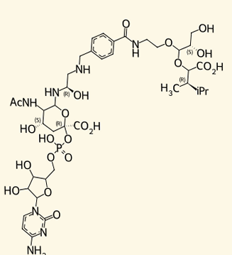 CC(=O)NC1C(N[C@H](O)CNCc2ccc(C(=O)NCCOC(OC(C(=O)O)[C@H](C)C(C)C)[C@@H](O)CO)cc2)O[C@](OP(=O)(O)OCC2OC(n3ccc(N)nc3=O)C(O)C2O)(C(=O)O)C[C@@H]1O